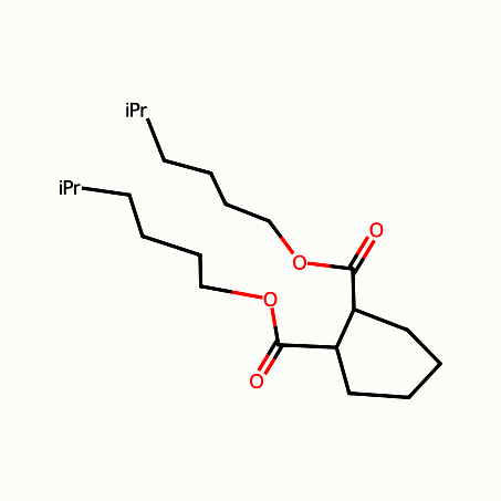 CC(C)CCCCOC(=O)C1CCCCC1C(=O)OCCCCC(C)C